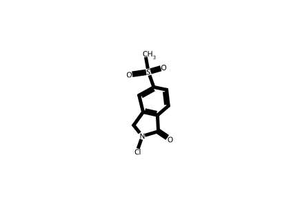 CS(=O)(=O)c1ccc2c(c1)CN(Cl)C2=O